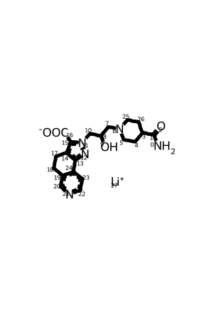 NC(=O)C1CCN(CC(O)Cn2nc3c(c2C(=O)[O-])CCc2cnccc2-3)CC1.[Li+]